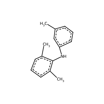 Cc1cccc(Nc2c(C)cccc2C)c1